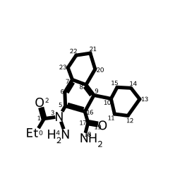 CCC(=O)N(N)c1cc2c(c(C3CCCCC3)c1C(N)=O)CCCC2